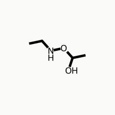 CCNOC(C)O